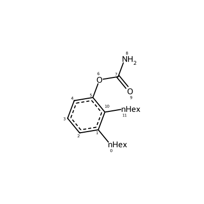 CCCCCCc1cccc(OC(N)=O)c1CCCCCC